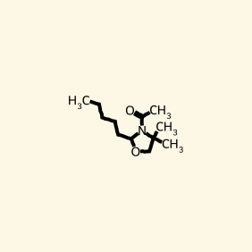 CCCCCC1OCC(C)(C)N1C(C)=O